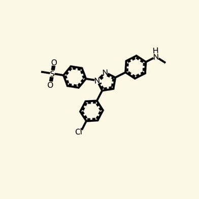 CNc1ccc(-c2cc(-c3ccc(Cl)cc3)n(-c3ccc(S(C)(=O)=O)cc3)n2)cc1